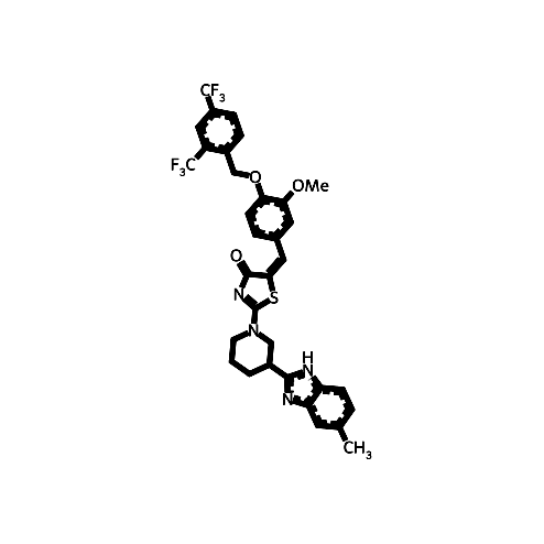 COc1cc(/C=C2/SC(N3CCCC(c4nc5cc(C)ccc5[nH]4)C3)=NC2=O)ccc1OCc1ccc(C(F)(F)F)cc1C(F)(F)F